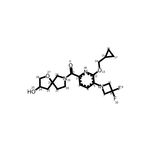 O=C(c1ccc(N2CC(F)(F)C2)c(OCC2CC2)n1)N1CCC2(CC(O)CO2)C1